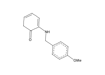 COc1ccc(CNC2=CC=CCC2=O)cc1